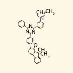 C=C/C=C(\C=C)c1cccc(-c2nc(-c3ccccc3)nc(-c3ccc4c(c3)oc3c5c(ccc34)-c3ccccc3C5(C)C)n2)c1